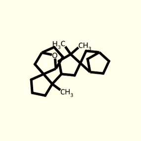 CC1(C)CC(C2(C)CCCC23CC2CCC3O2)CC12CC1CCC2C1